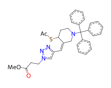 COC(=O)CCn1cc(C=C2CN(C(c3ccccc3)(c3ccccc3)c3ccccc3)CCC2SC(C)=O)nn1